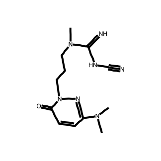 CN(CCCn1nc(N(C)C)ccc1=O)C(=N)NC#N